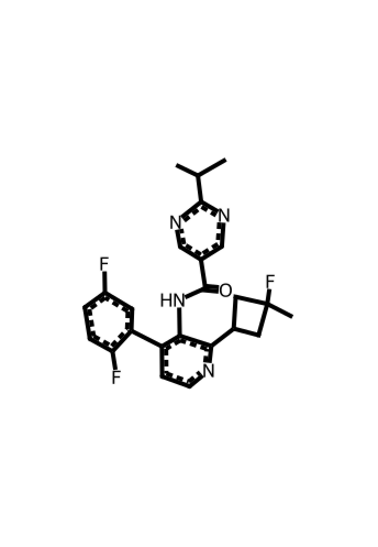 CC(C)c1ncc(C(=O)Nc2c(-c3cc(F)ccc3F)ccnc2C2CC(C)(F)C2)cn1